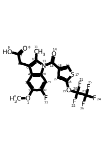 COc1cc2c(CC(=O)O)c(C)n(C(=O)c3csc(OC(F)(F)C(F)(F)F)c3)c2cc1F